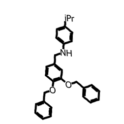 CC(C)c1ccc(NCc2ccc(OCc3ccccc3)c(OCc3ccccc3)c2)cc1